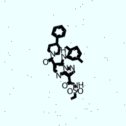 CCS(=O)(=O)NC(=O)c1cnn2c(Nc3cc(C)ccc3C)c(C(=O)N3CCC(c4ccccc4)CC3)cnc12